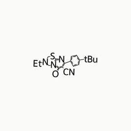 CCN1CSc2nc(-c3ccc(C(C)(C)C)cc3)c(C#N)c(=O)n2C1